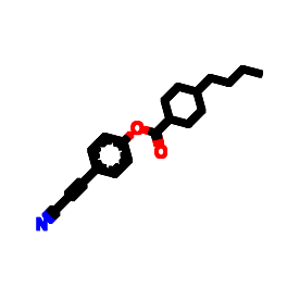 CCCCC1CCC(C(=O)Oc2ccc(C#CC#N)cc2)CC1